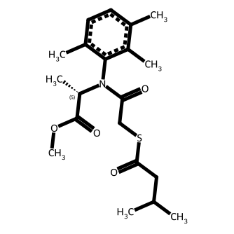 COC(=O)[C@H](C)N(C(=O)CSC(=O)CC(C)C)c1c(C)ccc(C)c1C